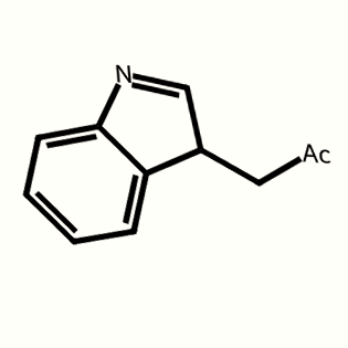 CC(=O)CC1C=Nc2ccccc21